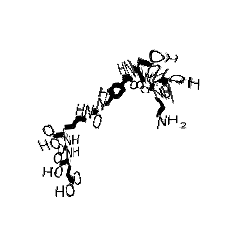 NCCCNC(=O)[C@H](CC(=O)O)NC(=O)[C@H](CC(=O)O)NC(=O)Cc1ccc(CNC(=O)NCCCC[C@H](NC(=O)N[C@@H](CCC(=O)O)C(=O)O)C(=O)O)cc1